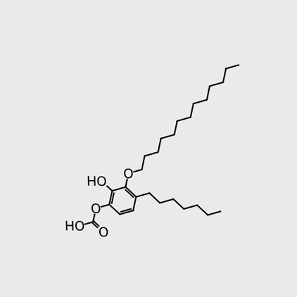 CCCCCCCCCCCCCOc1c(CCCCCCC)ccc(OC(=O)O)c1O